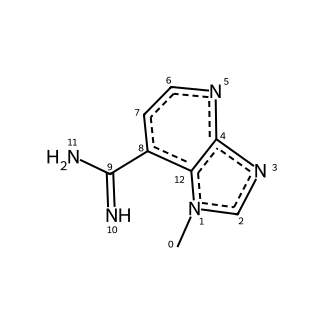 Cn1cnc2nccc(C(=N)N)c21